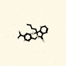 CCCCC1(O)C2=C(C=CCC2)C(=O)N1Cc1ccc(C(C)C)cc1